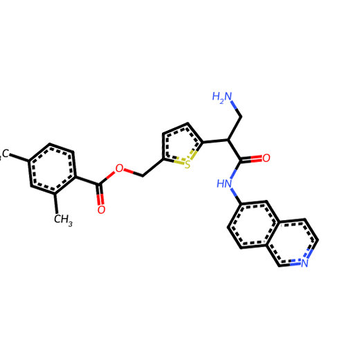 Cc1ccc(C(=O)OCc2ccc(C(CN)C(=O)Nc3ccc4cnccc4c3)s2)c(C)c1